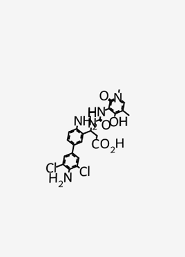 Cc1cn(C)c(=O)c(NC(=O)NC(CC(=O)O)c2cc(-c3cc(Cl)c(N)c(Cl)c3)ccc2N)c1O